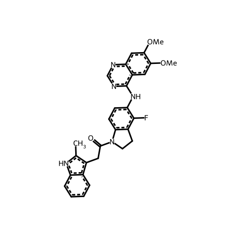 COc1cc2ncnc(Nc3ccc4c(c3F)CCN4C(=O)Cc3c(C)[nH]c4ccccc34)c2cc1OC